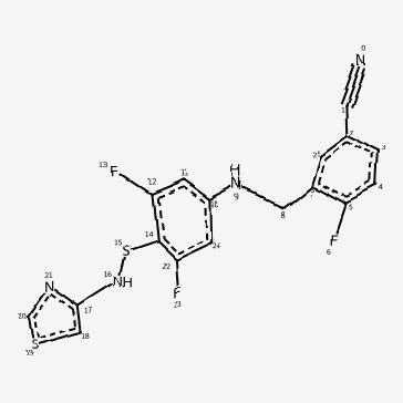 N#Cc1ccc(F)c(CNc2cc(F)c(SNc3cscn3)c(F)c2)c1